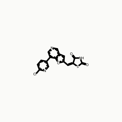 O=C1NC(=O)/C(=C\c2cc3cncc(-c4ccc(Cl)nc4)c3o2)S1